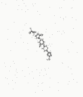 CSc1nnc(N2CCN(c3ccc(N4C[C@H](CNC(C)=O)OC4=O)cc3F)CC2)s1